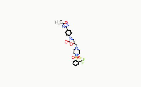 Cc1nc(-c2ccc(N3CC(CN4CCN(S(=O)(=O)c5ccccc5C(F)(F)F)CC4)OC3=O)cc2)no1